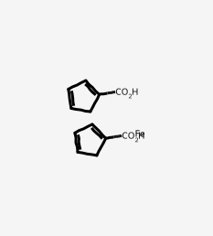 O=C(O)C1=CC=CC1.O=C(O)C1=CC=CC1.[Fe]